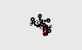 O=C1C(=CC2=CC3=C(c4sc5cc(C=C6C(=O)c7ccccc7C6=O)sc5c4C3(C(=O)OCc3ccccc3)C(=O)OCc3ccccc3)C2(C(=O)OCc2ccccc2)C(=O)OCc2ccccc2)C(=O)c2ccccc21